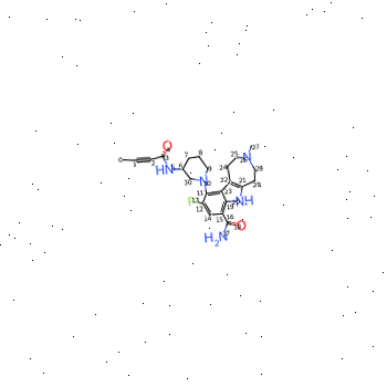 CC#CC(=O)N[C@H]1CCCN(c2c(F)cc(C(N)=O)c3[nH]c4c(c23)CCN(C)CC4)C1